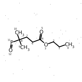 CCCOC(=O)CCC(C)(C)P=O